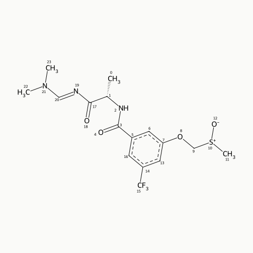 C[C@H](NC(=O)c1cc(OC[S+](C)[O-])cc(C(F)(F)F)c1)C(=O)/N=C/N(C)C